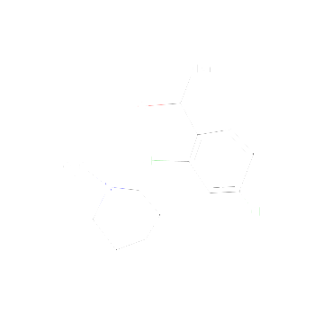 CC(C)(C)C(O)c1ccc(Cl)cc1Cl.O=C(O)N1CCCCC1